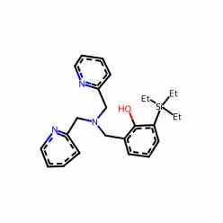 CC[Si](CC)(CC)c1cccc(CN(Cc2ccccn2)Cc2ccccn2)c1O